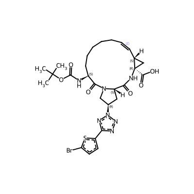 CC(C)(C)OC(=O)N[C@H]1CCCCC/C=C\[C@@H]2C[C@@]2(C(=O)O)NC(=O)[C@@H]2C[C@@H](n3nnc(-c4ccc(Br)s4)n3)CN2C1=O